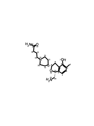 Cc1ccc2c(c1O)C[C@@H](C1CCN(CC[CH]C(N)=O)CC1)O[C@H]2CN